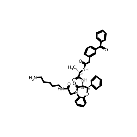 C[C@H](NC(=O)Cc1cccc(C(=O)c2ccccc2)c1)C(=O)N[C@@H]1C(=O)N(CC(=O)NCCCCCN)c2ccccc2O[C@@H]1c1ccccc1